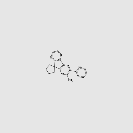 Cc1cc2c(cc1-c1ccccn1)-c1cccnc1C21CCCC1